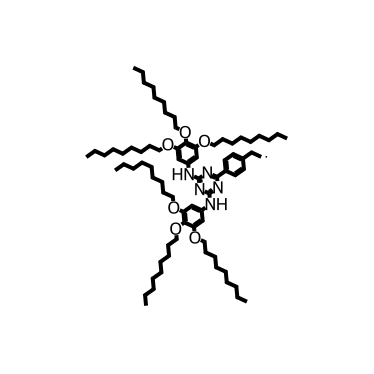 [CH2]Cc1ccc(-c2nc(Nc3cc(OCCCCCCCCC)c(OCCCCCCCCC)c(OCCCCCCCCC)c3)nc(Nc3cc(OCCCCCCCCC)c(OCCCCCCCCC)c(OCCCCCCCCC)c3)n2)cc1